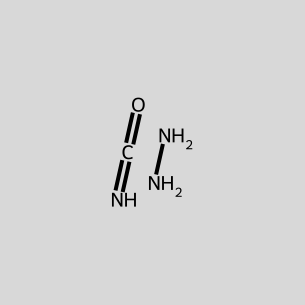 N=C=O.NN